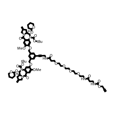 C#CCOC(=O)NCCC(=O)NCCOCCOCCOCCOCCC(=O)NCC#Cc1cc(COc2cc3c(cc2OC)C(=O)N2CC(=C)C[C@H]2[C@H](OC2CCCCO2)N3C(=O)OC(C)(C)C)cc(COc2cc3c(cc2OC)C(=O)N2CC(=C)C[C@H]2[C@H](OC2CCCCO2)N3C(=O)OC(C)(C)C)c1